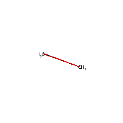 CCCCCCCCCCCCCCCCCCCCCCCCCCCCCCCCCCCCCCCCCCCCCCCCCCCCCCCCCCCCCCCCC